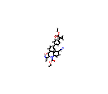 CCOC(=O)N(c1ccc(C#N)cc1)c1c(C)noc1-c1ccc(-c2ccc(C3(C(=O)OCC)CC3)cc2)cc1